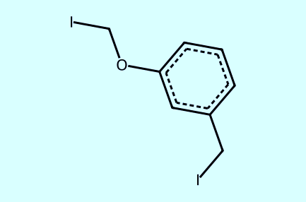 ICOc1cccc(CI)c1